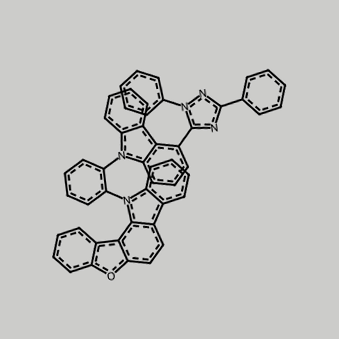 c1ccc(-c2nc(-c3cccc4c3c3ccccc3n4-c3ccccc3-n3c4ccccc4c4ccc5oc6ccccc6c5c43)n(-c3ccccc3)n2)cc1